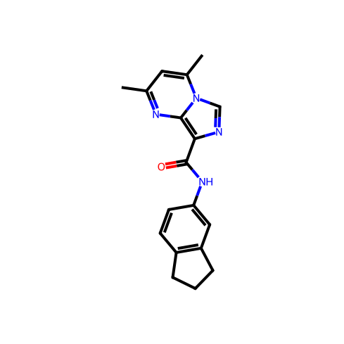 Cc1cc(C)n2cnc(C(=O)Nc3ccc4c(c3)CCC4)c2n1